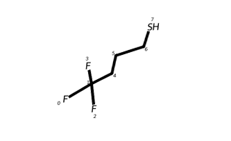 FC(F)(F)CCCS